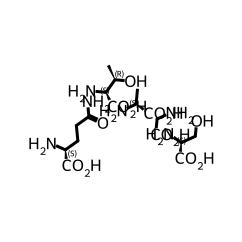 C[C@@H](O)[C@H](N)C(=O)O.C[C@H](N)C(=O)O.NC(=O)CC[C@H](N)C(=O)O.NCC(=O)O.N[C@@H](CO)C(=O)O